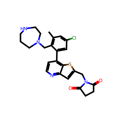 Cc1cc(Cl)cc(-c2ccnc3cc(CN4C(=O)CCC4=O)sc23)c1CN1CCCNCC1